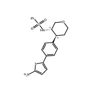 CC(C)S(=O)(=O)N[C@@H]1COCC[C@H]1c1ccc(-c2ccc(N)s2)cc1